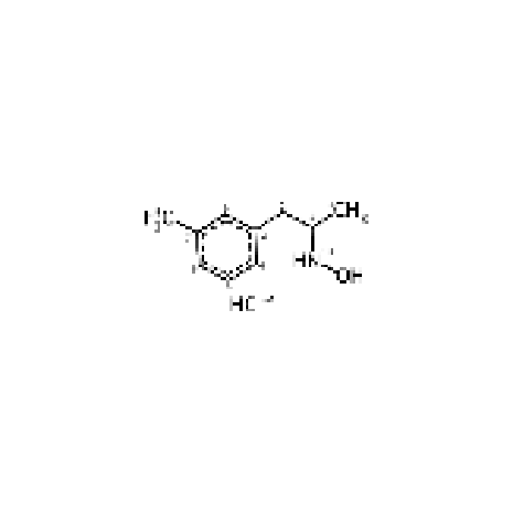 CC(Cc1cccc(C(F)(F)F)c1)NO.Cl